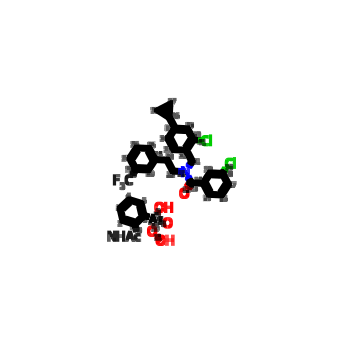 CC(=O)Nc1ccccc1[As](=O)(O)OO.O=C(c1cccc(Cl)c1)N(CCc1cccc(C(F)(F)F)c1)Cc1ccc(C2CC2)cc1Cl